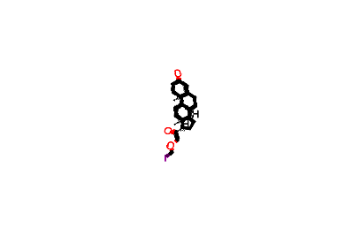 C[C@]12CCC3[C@@H](CCC4=CC(=O)CC[C@@]43C)[C@@H]1CC[C@@H]2C(=O)COCI